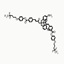 Nc1ccc(CC(CC(=O)/C=C/c2ccc(C(=O)Oc3ccc(OCCCC(F)(F)C(F)(F)F)cc3)cc2)(Cc2ccc(N)cc2)C(O)(O)C(=O)/C=C/c2ccc(C(=O)Oc3ccc(OCCCC(F)(F)C(F)(F)F)cc3)cc2)cc1